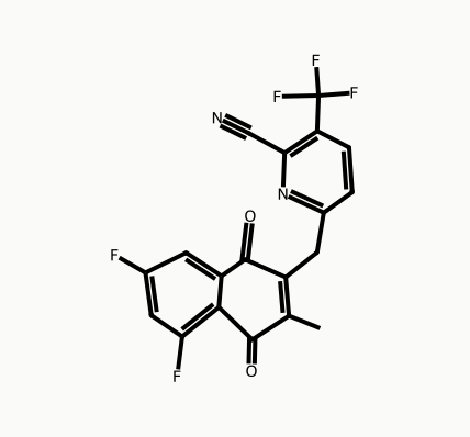 CC1=C(Cc2ccc(C(F)(F)F)c(C#N)n2)C(=O)c2cc(F)cc(F)c2C1=O